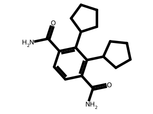 NC(=O)c1ccc(C(N)=O)c(C2CCCC2)c1C1CCCC1